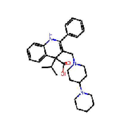 CC(C)C1(C(=O)O)C(CN2CCC(N3CCCCC3)CC2)=C(c2ccccc2)Nc2ccccc21